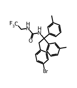 Cc1cccc(C(Cc2ccc(Br)cc2)(NC(=O)NCC(F)(F)F)c2cccc(C)c2)c1